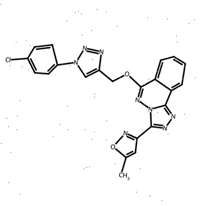 Cc1cc(-c2nnc3c4ccccc4c(OCc4cn(-c5ccc(Cl)cc5)nn4)nn23)no1